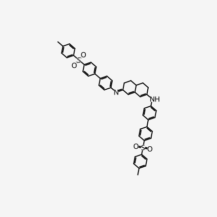 Cc1ccc(S(=O)(=O)c2ccc(-c3ccc(/N=C4/C=C5C=C(Nc6ccc(-c7ccc(S(=O)(=O)c8ccc(C)cc8)cc7)cc6)CCC5CC4)cc3)cc2)cc1